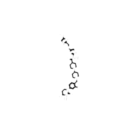 CC(C)(C)c1cnc(CSc2cnc(NC(=O)C3CCN(C4CCN(Cc5ccc(N6CCC(=O)NC6=O)cc5F)CC4)CC3)s2)o1